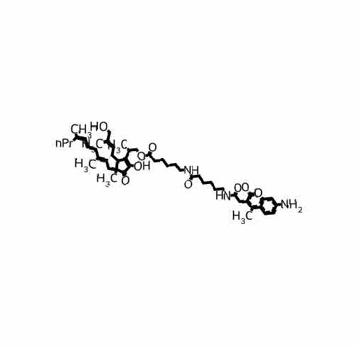 CCC/C(C)=C\CC/C(C)=C/CC1(C)C(=O)C(O)=C(C(C)COC(=O)CCCCCNC(=O)CCCCCNC(=O)Cc2c(C)c3ccc(N)cc3oc2=O)C1C/C=C(\C)CO